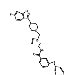 C=C[C@@H](CCNC(=O)c1cccc(Oc2ccccc2)c1)CN1CCC(c2noc3cc(F)ccc23)CC1